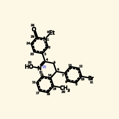 CCn1cc(/C(CC(c2ccc(Br)cc2)c2ccccc2C)=N\O)ccc1=O